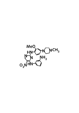 COc1cc(N2CCN(C)CC2)ccc1Nc1ncc([N+](=O)[O-])c(Nc2cccc(N)c2)n1